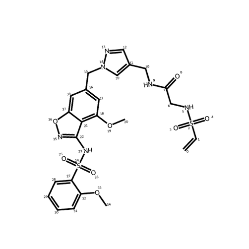 C=CS(=O)(=O)NCC(=O)NCc1cnn(Cc2cc(OC)c3c(NS(=O)(=O)c4ccccc4OC)noc3c2)c1